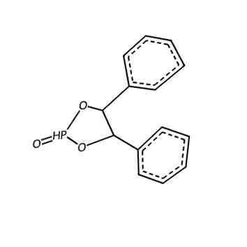 O=[PH]1OC(c2ccccc2)C(c2ccccc2)O1